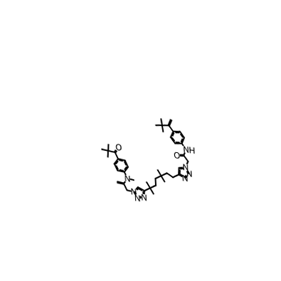 C=C(Cn1cc(C(C)(C)CCC(C)(C)CCc2cn(CC(=O)Nc3ccc(C(=C)C(C)(C)C)cc3)nn2)nn1)N(C)c1ccc(C(=O)C(C)(C)C)cc1